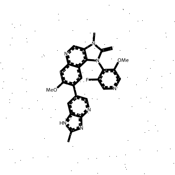 C=C1N(C)c2cnc3cc(OC)c(-c4cnc5nc(C)[nH]c5c4)cc3c2N1c1c(F)cncc1OC